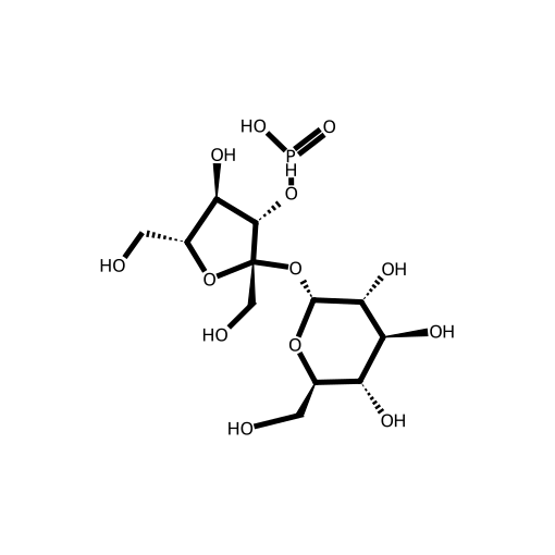 O=[PH](O)O[C@H]1[C@H](O)[C@@H](CO)O[C@@]1(CO)O[C@H]1O[C@H](CO)[C@@H](O)[C@H](O)[C@H]1O